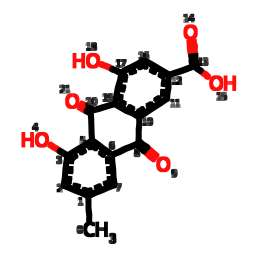 Cc1cc(O)c2c(c1)C(=O)c1cc(C(=O)O)cc(O)c1C2=O